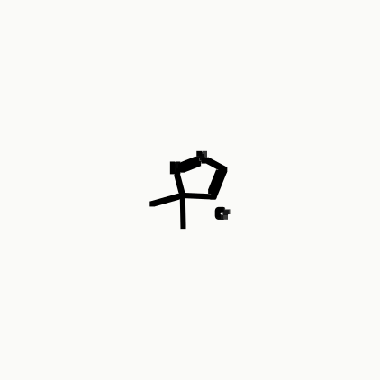 CC1(C)C=CN=N1.[Cr]